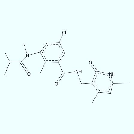 Cc1cc(C)c(CNC(=O)c2cc(Cl)cc(N(C)C(=O)C(C)C)c2C)c(=O)[nH]1